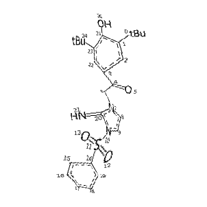 CC(C)(C)c1cc(C(=O)Cn2ccn(S(=O)(=O)c3ccccc3)c2=N)cc(C(C)(C)C)c1O